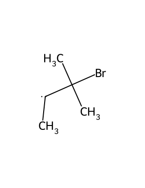 C[CH]C(C)(C)Br